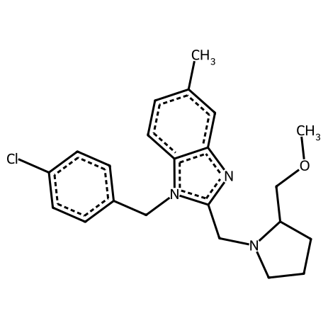 COCC1CCCN1Cc1nc2cc(C)ccc2n1Cc1ccc(Cl)cc1